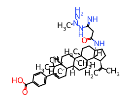 C=C(C)[C@@H]1CC[C@]2(NC(=O)CC(=N)NN(C)N)CC[C@]3(C)[C@H](CC[C@@H]4[C@@]5(C)CC=C(c6ccc(C(=O)O)cc6)C(C)(C)[C@@H]5CC[C@]43C)[C@@H]12